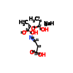 CCC(=O)O.CCC(=O)O.N#CCC(=O)O.[NaH]